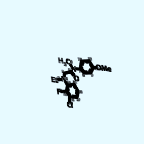 CCN(CC(=O)N(C)c1ccc(OC)cc1)c1cccc(Cl)c1F